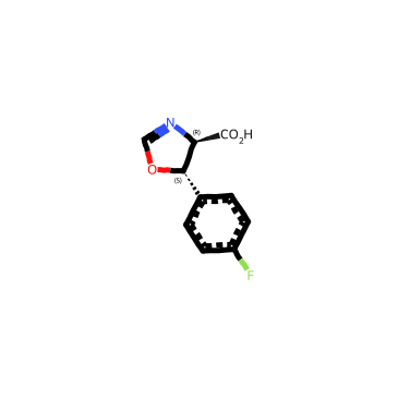 O=C(O)[C@@H]1N=CO[C@H]1c1ccc(F)cc1